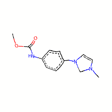 COC(=O)Nc1ccc(N2C=CN(C)C2)cc1